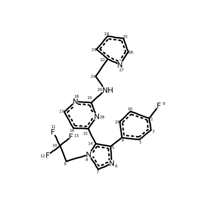 Fc1ccc(-c2ncn(CC(F)(F)F)c2-c2ccnc(NCc3ccccn3)n2)cc1